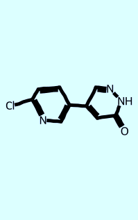 O=c1cc(-c2ccc(Cl)nc2)cn[nH]1